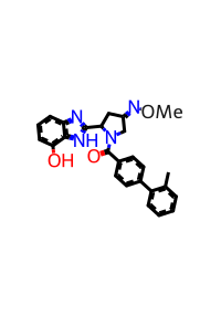 CON=C1CC(c2nc3cccc(O)c3[nH]2)N(C(=O)c2ccc(-c3ccccc3C)cc2)C1